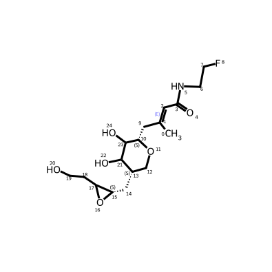 C/C(=C\C(=O)NCCF)C[C@@H]1OC[C@H](C[C@@H]2OC2CCO)C(O)C1O